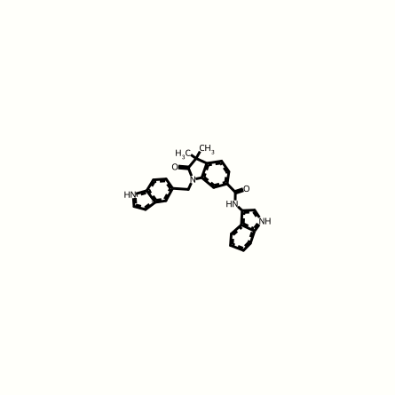 CC1(C)C(=O)N(Cc2ccc3[nH]ccc3c2)c2cc(C(=O)Nc3c[nH]c4ccccc34)ccc21